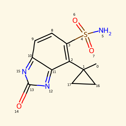 CC1(c2c(S(N)(=O)=O)ccc3c2=NC(=O)N=3)CC1